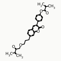 C=C(C)C(=O)COCCCc1ccc2cc(-c3ccc(OC(=O)C(=C)C)cc3)c(=O)oc2c1